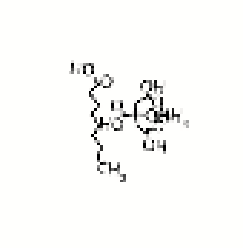 CCCCCCCCC(=O)O.N.O=C(O)CC(O)(CC(=O)O)C(=O)O